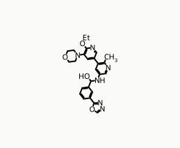 CCOc1ncc(-c2cc(NC(O)c3cccc(-c4nnco4)c3)cnc2C)cc1N1CCOCC1